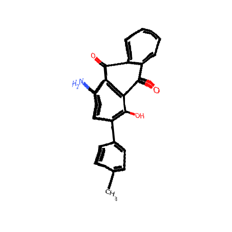 Cc1ccc(-c2cc(N)c3c(c2O)C(=O)c2ccccc2C3=O)cc1